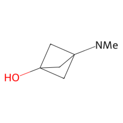 CNC12CC(O)(C1)C2